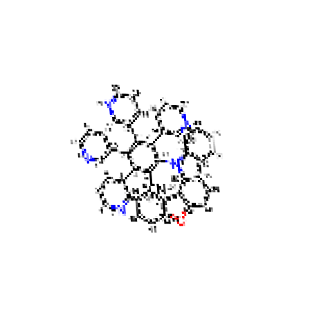 N#Cc1c(-c2cccnc2)c(-c2cccnc2)c(-c2cccnc2)c(-c2cccnc2)c1-n1c2ccccc2c2ccc3oc4ccccc4c3c21